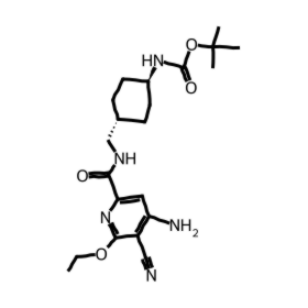 CCOc1nc(C(=O)NC[C@H]2CC[C@H](NC(=O)OC(C)(C)C)CC2)cc(N)c1C#N